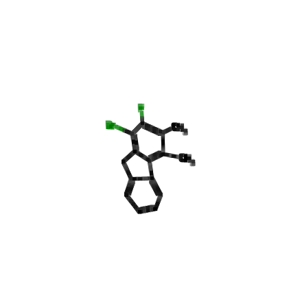 Cc1c(C)c2c(c(Br)c1F)Cc1ccccc1-2